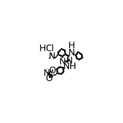 CN(C)Cc1cccc2c(Nc3ccccc3)nc(Nc3ccc(CS(=O)(=O)N(C)C)cc3)nc12.Cl